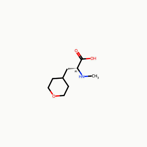 CN[C@H](CC1CCOCC1)C(=O)O